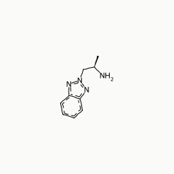 C[C@@H](N)Cn1nc2ccccc2n1